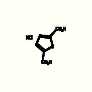 Cl.O=C(O)c1ccc(C(=O)O)s1